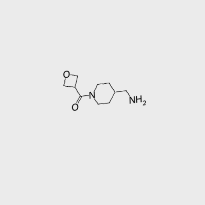 NCC1CCN(C(=O)C2COC2)CC1